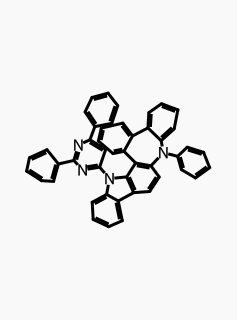 c1ccc(-c2cc(-n3c4ccccc4c4ccc5c(c43)-c3ccccc3-c3ccccc3N5c3ccccc3)nc(-c3ccccc3)n2)cc1